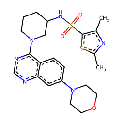 Cc1nc(C)c(S(=O)(=O)NC2CCCN(c3ncnc4cc(N5CCOCC5)ccc34)C2)s1